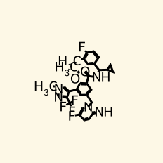 CCOc1c(C(=O)NC(c2ccc(F)c(C)c2)C2CC2)cc(Cn2cc(F)ccc2=N)cc1-c1cn(C)nc1C(F)(F)F